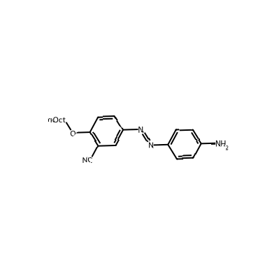 CCCCCCCCOc1ccc(N=Nc2ccc(N)cc2)cc1C#N